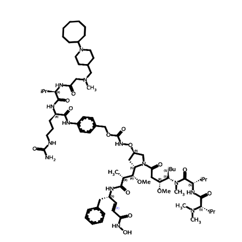 CC[C@H](C)[C@@H]([C@@H](CC(=O)N1C[C@H](ONC(=O)OCc2ccc(NC(=O)[C@@H](CCCNC(N)=O)NC(=O)[C@H](NC(=O)CN(C)CC3CCN(C4CCCCCCC4)CC3)C(C)C)cc2)C[C@H]1[C@H](OC)[C@@H](C)C(=O)N[C@H](/C=C/C(=O)NO)Cc1ccccc1)OC)N(C)C(=O)[C@@H](NC(=O)[C@H](C(C)C)N(C)C)C(C)C